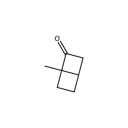 CC12CCC1CC2=O